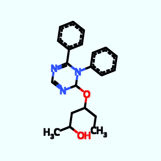 CCC(CC(C)O)OC1N=CN=C(c2ccccc2)N1c1ccccc1